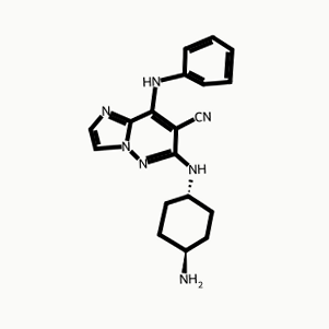 N#Cc1c(N[C@H]2CC[C@H](N)CC2)nn2ccnc2c1Nc1ccccc1